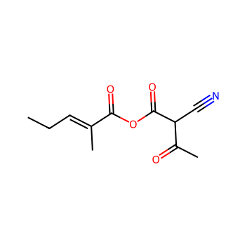 CC/C=C(\C)C(=O)OC(=O)C(C#N)C(C)=O